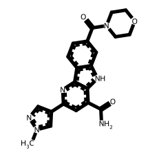 Cn1cc(-c2cc(C(N)=O)c3[nH]c4cc(C(=O)N5CCOCC5)ccc4c3n2)cn1